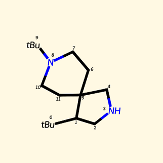 CC(C)(C)C1CNCC12CCN(C(C)(C)C)CC2